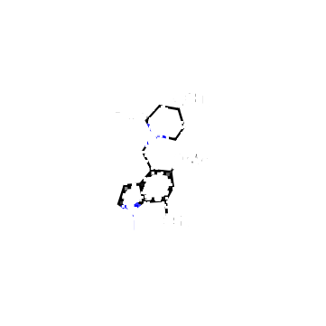 CC[C@@H]1C[C@H](C)CCN1Cc1c(OC)cc(C)c2[nH]ccc12